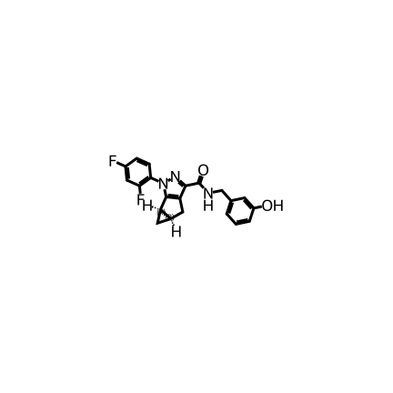 O=C(NCc1cccc(O)c1)c1nn(-c2ccc(F)cc2F)c2c1C[C@H]1C[C@@H]21